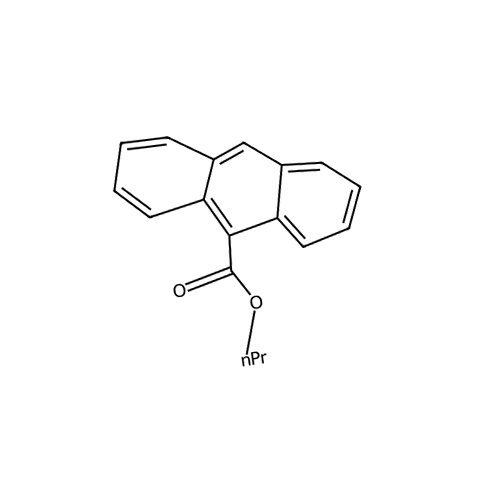 CCCOC(=O)c1c2ccccc2cc2ccccc12